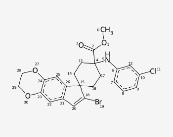 COC(=O)C1(Nc2cccc(Cl)c2)CCC2(CC1)C(Br)=Cc1cc3c(cc12)OCCO3